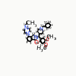 CCN1CCN(c2cccc3c2CN(C(c2ccc(OC)c(OC)c2)C2CCN(Cc4ccccc4)CC2)C3=O)CC1